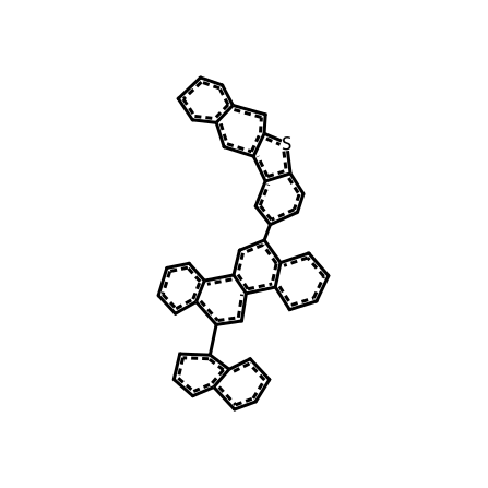 c1ccc2cc3c(cc2c1)sc1ccc(-c2cc4c5ccccc5c(-c5cccc6ccccc56)cc4c4ccccc24)cc13